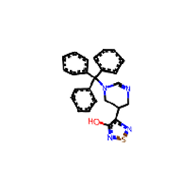 Oc1nsnc1C1CN=CN(C(c2ccccc2)(c2ccccc2)c2ccccc2)C1